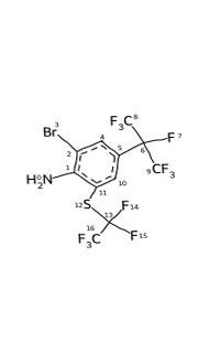 Nc1c(Br)cc(C(F)(C(F)(F)F)C(F)(F)F)cc1SC(F)(F)C(F)(F)F